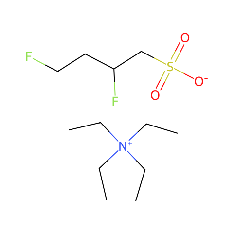 CC[N+](CC)(CC)CC.O=S(=O)([O-])CC(F)CCF